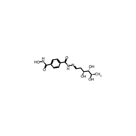 C[C@@H](O)[C@@H](O)[C@@H](O)C/C=N/NC(=O)c1ccc(C(=O)NO)cc1